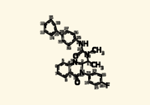 CC(c1nc2ccccc2c(=O)n1-c1ccc(F)cc1)N(C)C(=O)Nc1ccc(-c2ccccc2)cc1